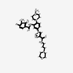 Cc1c(F)ccc(C(=O)Nc2cc(-n3cc(C(=O)NCCCN4CCOCC4)nn3)ccc2N2CCN(C)CC2)c1Cl